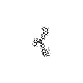 CC1(c2ccc(-c3nc(-c4ccc(-c5ccc6ccc7cccnc7c6n5)cc4)nc(-c4cccc5ccccc45)n3)cc2)C=Cc2ccc3cccnc3c2N1